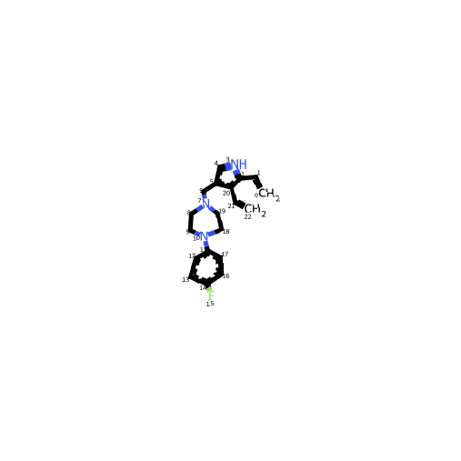 C=Cc1[nH]cc(CN2CCN(c3ccc(F)cc3)CC2)c1C=C